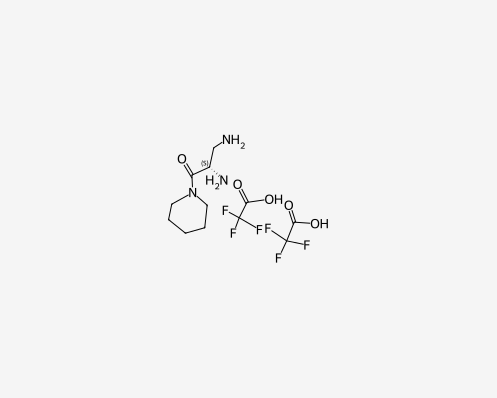 NC[C@H](N)C(=O)N1CCCCC1.O=C(O)C(F)(F)F.O=C(O)C(F)(F)F